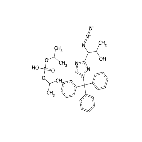 CC(C)OP(=O)(O)OC(C)C.CC(O)C(N=[N+]=[N-])c1ncn(C(c2ccccc2)(c2ccccc2)c2ccccc2)n1